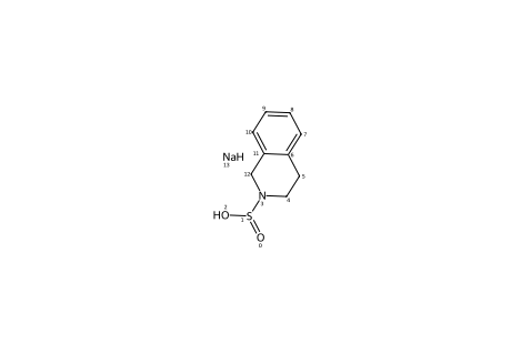 O=S(O)N1CCc2ccccc2C1.[NaH]